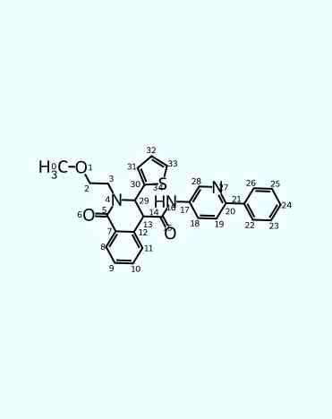 COCCN1C(=O)c2ccccc2C(C(=O)Nc2ccc(-c3ccccc3)nc2)C1c1cccs1